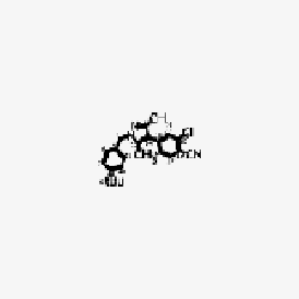 Cc1nn(Cc2ccc(C(C)(C)C)cc2)c(C)c1-c1ccc(C#N)c(Cl)c1